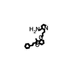 Cc1c(C=Cc2ccccc2)oc2cccc(OCCCc3ncccc3CN)c12